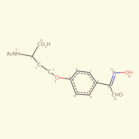 CC(=O)NC(CCOc1ccc(C([C]=O)=NO)cc1)C(=O)O